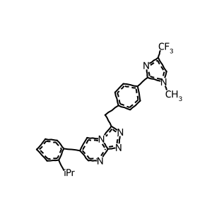 CC(C)c1ccccc1-c1cnc2nnc(Cc3ccc(-c4nc(C(F)(F)F)cn4C)cc3)n2c1